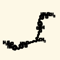 CCC(CCCCCOC(=O)Nc1ccc(Cc2ccc(NC(=O)OC)cc2)cc1)CCCCCOC(=O)Nc1ccc(Cc2ccc(NC(=O)OC)cc2)cc1